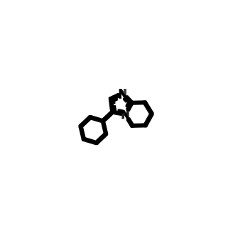 c1nc2n(c1C1CCCCC1)CCCC2